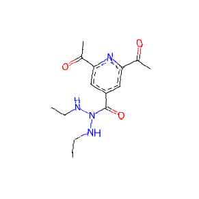 CCNN(NCC)C(=O)c1cc(C(C)=O)nc(C(C)=O)c1